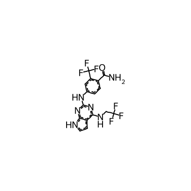 NC(=O)c1ccc(Nc2nc(NCC(F)(F)F)c3cc[nH]c3n2)cc1C(F)(F)F